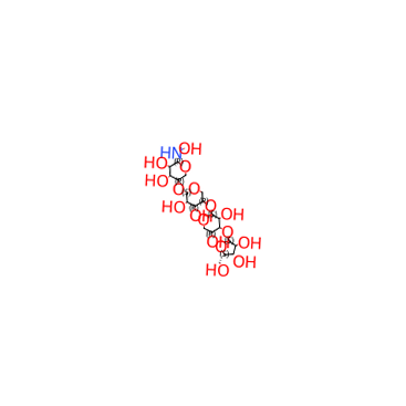 OC[C@@H]1O[C@@H](OC2C(O)[C@H](O[C@@H]3CO[C@@H](O[C@@H]4CO[C@@H](NO)C(O)C4O)C(O)[C@H]3O)OC[C@H]2O)C(O)C1O